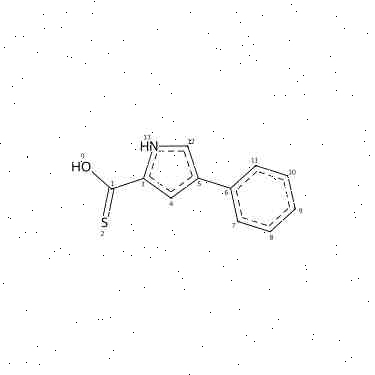 OC(=S)c1cc(-c2ccccc2)c[nH]1